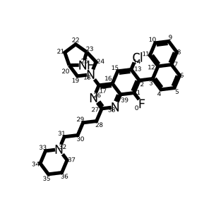 Fc1c(-c2cccc3ccccc23)c(Cl)cc2c(N3CC4CCC(C3)N4)nc(CCCCN3CCCCC3)nc12